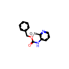 O=C(Nc1cccnc1[N+](=O)[O-])OCc1ccccc1